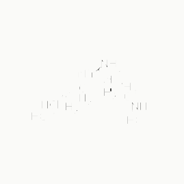 C.C.C.C.C.CCCN.Cl.Cl.Cl.N